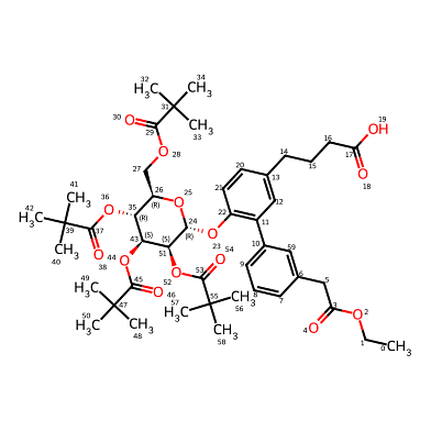 CCOC(=O)Cc1cccc(-c2cc(CCCC(=O)O)ccc2O[C@H]2O[C@H](COC(=O)C(C)(C)C)[C@@H](OC(=O)C(C)(C)C)[C@H](OC(=O)C(C)(C)C)[C@@H]2OC(=O)C(C)(C)C)c1